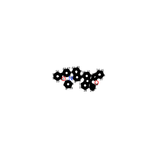 c1ccc(N(c2ccc(-c3cccc4c3-c3ccccc3C43c4ccccc4Oc4c3ccc3ccccc43)c3ccccc23)c2cccc3c2oc2ccccc23)cc1